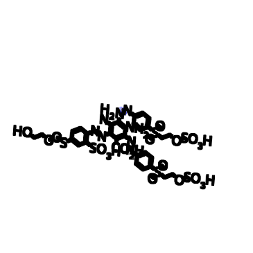 Nc1c(N=Nc2ccc(S(=O)(=O)CCOS(=O)(=O)O)cc2)c(C(=O)O)c(N=Nc2ccc(SOOCCO)cc2S(=O)(=O)O)c(N)c1/N=N\c1ccc(S(=O)(=O)CCOS(=O)(=O)O)cc1